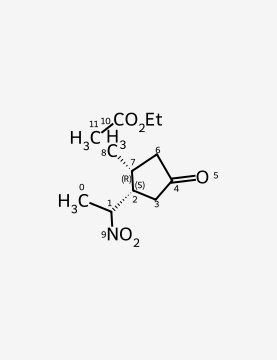 CC([C@H]1CC(=O)C[C@H]1C)[N+](=O)[O-].CCOC(C)=O